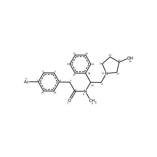 CC(=O)c1ccc(CC(=O)N(C)C(CN2CCC(O)C2)c2ccccc2)cc1